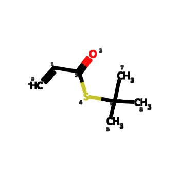 [CH]=CC(=O)SC(C)(C)C